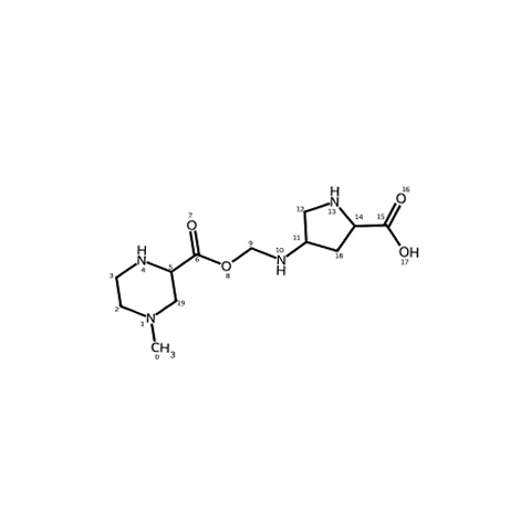 CN1CCNC(C(=O)OCNC2CNC(C(=O)O)C2)C1